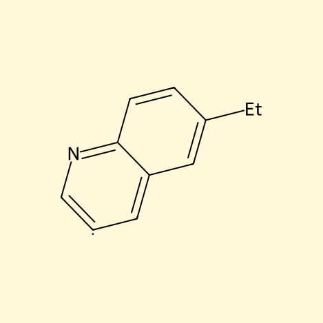 CCc1ccc2nc[c]cc2c1